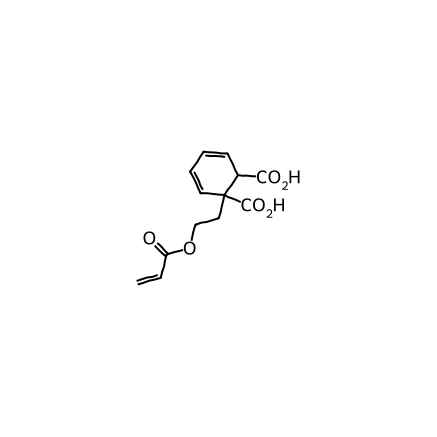 C=CC(=O)OCCC1(C(=O)O)C=CC=CC1C(=O)O